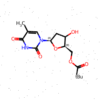 Cc1cn([C@H]2CC(O)[C@@H](COC(=O)C(C)(C)C)O2)c(=O)[nH]c1=O